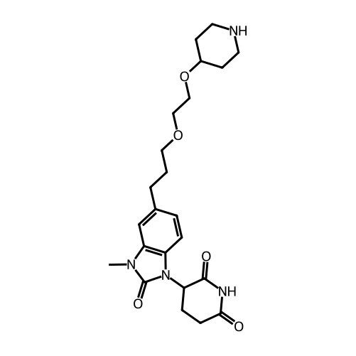 Cn1c(=O)n(C2CCC(=O)NC2=O)c2ccc(CCCOCCOC3CCNCC3)cc21